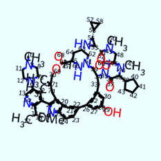 CCn1c(-c2cc(N3CCN(C)CC3)cnc2[C@H](C)OC)c2c3cc(ccc31)-c1cc(O)cc(c1)C[C@H](NC(=O)C(C1CCCC1)N(C)C(=O)CN(C)C(=O)[C@@H]1N[C@@H]1C1CC1)C(=O)N1CCC[C@H](N1)C(=O)OCC(C)(C)C2